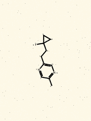 Cc1cnc(CCC2(F)CC2)cn1